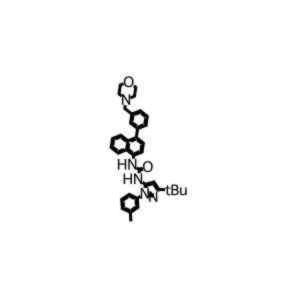 Cc1cccc(-n2nc(C(C)(C)C)cc2NC(=O)Nc2ccc(-c3cccc(CN4CCOCC4)c3)c3ccccc23)c1